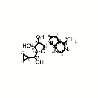 Cc1ncnc2c1ccn2[C@@H]1O[C@H]([C@@H](O)C2CC2)[C@@H](O)[C@H]1O